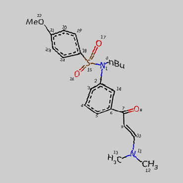 CCCCN(c1cccc(C(=O)C=CN(C)C)c1)S(=O)(=O)c1ccc(OC)cc1